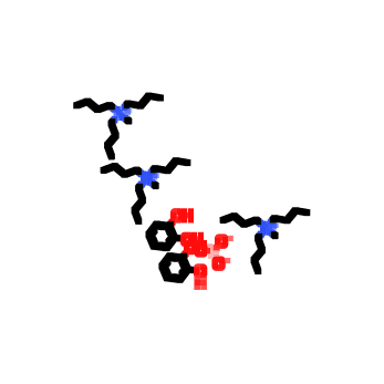 CCCC[N+](C)(CCCC)CCCC.CCCC[N+](C)(CCCC)CCCC.CCCC[N+](C)(CCCC)CCCC.Oc1ccccc1O.Oc1ccccc1O.[O-]B([O-])[O-]